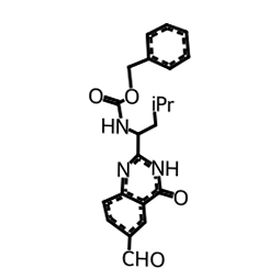 CC(C)CC(NC(=O)OCc1ccccc1)c1nc2ccc(C=O)cc2c(=O)[nH]1